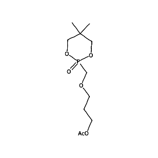 CC(=O)OCCCOCP1(=O)OCC(C)(C)CO1